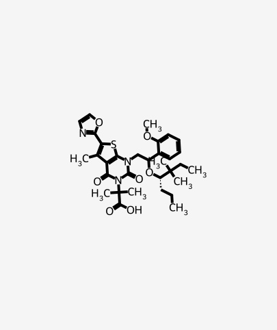 CCC[C@H](OC(Cn1c(=O)n(C(C)(C)C(=O)O)c(=O)c2c(C)c(-c3ncco3)sc21)c1ccccc1OC)C(C)(C)CC